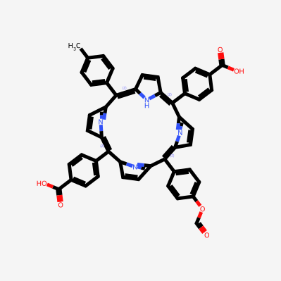 Cc1ccc(/C2=c3\cc/c([nH]3)=C(\c3ccc(C(=O)O)cc3)C3=N/C(=C(/c4ccc(OC=O)cc4)C4=NC(C=C4)/C(c4ccc(C(=O)O)cc4)=C4/C=CC2=N4)C=C3)cc1